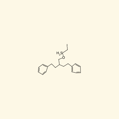 IC[SiH2]OCC(CCc1ccccc1)CCc1ccccc1